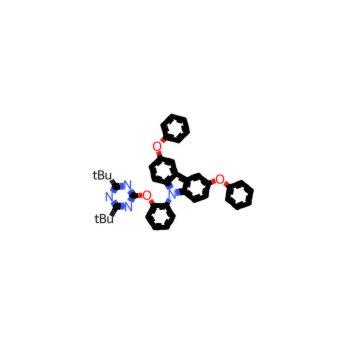 CC(C)(C)c1nc(Oc2ccccc2-n2c3ccc(Oc4ccccc4)cc3c3cc(Oc4ccccc4)ccc32)nc(C(C)(C)C)n1